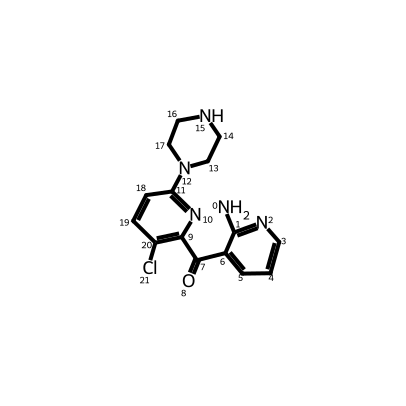 Nc1ncccc1C(=O)c1nc(N2CCNCC2)ccc1Cl